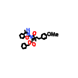 COc1ccc(CC[C@@]2(C)C(=O)N(C(=O)N[C@H](C)c3ccccc3)[C@@H]2C(=O)OCc2ccccc2)cc1